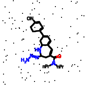 CCCN(CCC)C(=O)C1=CC2=CC=C(C3=CC=C(N=O)CC3)CC2NC(N=NN)C1